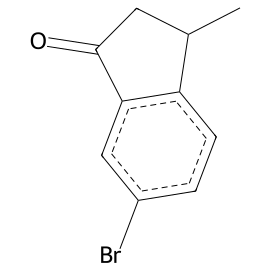 CC1CC(=O)c2cc(Br)ccc21